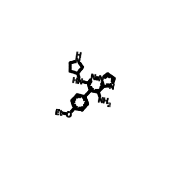 CCOc1ccc(-c2c(NC3CCNC3)nn3ccnc3c2N)cc1